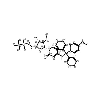 COc1ccc(C(Nc2ccn([C@@H]3O[C@H](CO[Si](C)(C)C(C)(C)C)[C@H](C)C3OC)c(=O)n2)(c2ccccc2)c2ccccc2)cc1